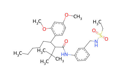 CCCCCC(c1ccc(OC)cc1OC)C(C(=O)Nc1cccc(CNS(=O)(=O)CC)c1)C(C)(C)C